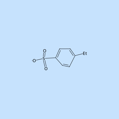 CCc1ccc(S([O])(=O)=O)cc1